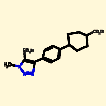 CCOC(=O)C1CCC(c2ccc(-c3nnn(C)c3C(=O)O)cc2)CC1